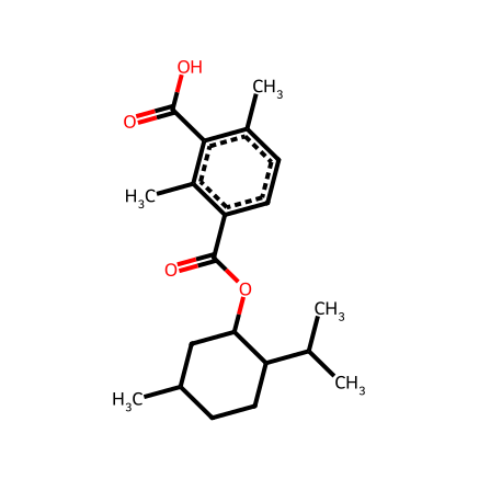 Cc1ccc(C(=O)OC2CC(C)CCC2C(C)C)c(C)c1C(=O)O